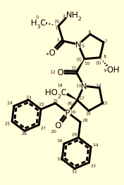 C[C@H](N)C(=O)N1CC[C@H](O)[C@H]1C(=O)N1CCC[C@]1(C(=O)O)P(=O)(Cc1ccccc1)Cc1ccccc1